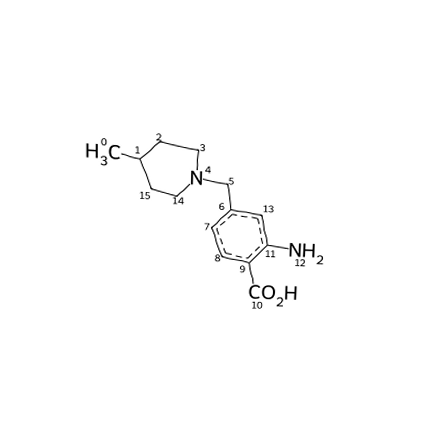 CC1CCN(Cc2ccc(C(=O)O)c(N)c2)CC1